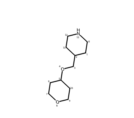 C1CC(COC2CCOCC2)CCN1